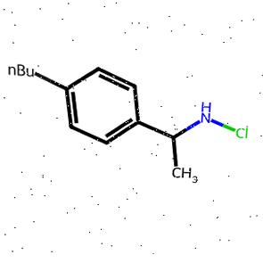 CCCCc1ccc(C(C)NCl)cc1